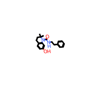 CC1(C)CCc2ccc(O)cc2N1C(=O)NCCc1ccccc1